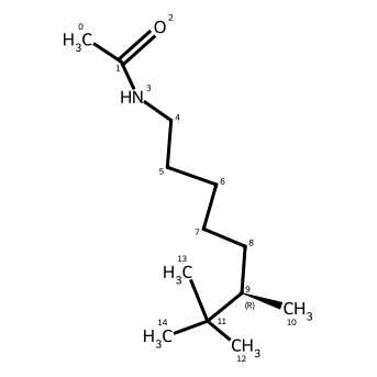 CC(=O)NCCCCC[C@@H](C)C(C)(C)C